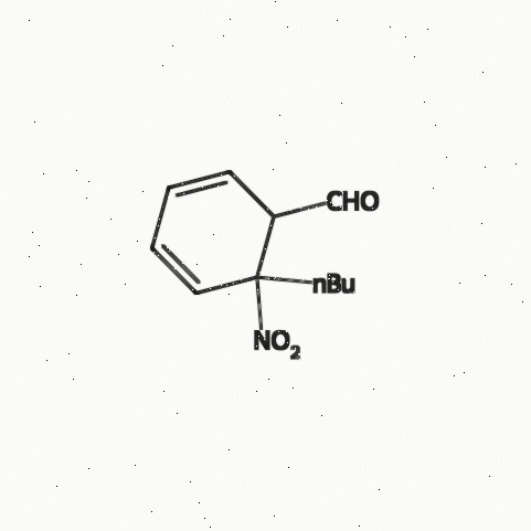 CCCCC1([N+](=O)[O-])C=CC=CC1C=O